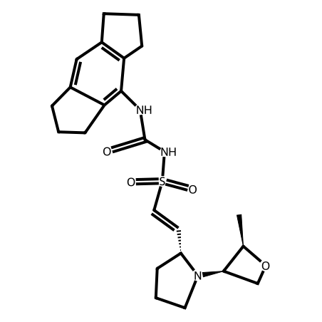 C[C@H]1OC[C@H]1N1CCC[C@@H]1/C=C/S(=O)(=O)NC(=O)Nc1c2c(cc3c1CCC3)CCC2